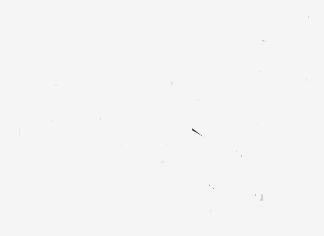 C=C(C)CCOc1cccc([C@@]2(c3ccc(OC(F)F)cc3)N=C(N)N(C)C2=O)c1